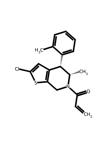 C=CC(=O)N1Cc2sc(Cl)cc2[C@H](c2ccccc2C)[C@@H]1C